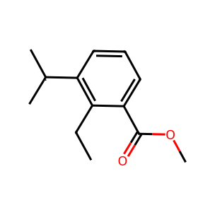 CCc1c([C](C)C)cccc1C(=O)OC